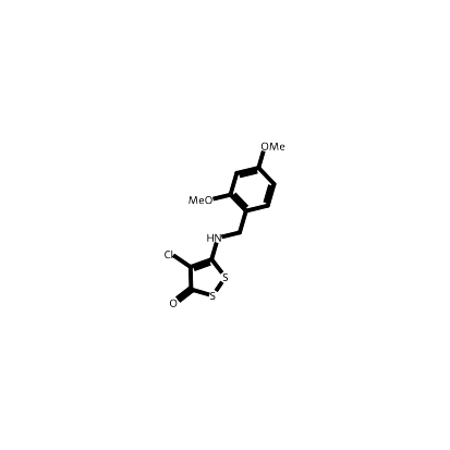 COc1ccc(CNc2ssc(=O)c2Cl)c(OC)c1